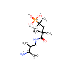 CC(CNC(=O)C(C)(C)CC(C)(C)P(=O)(O)O)C(N)C=O